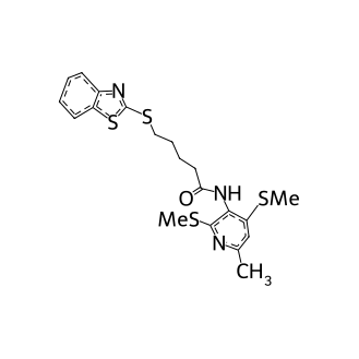 CSc1cc(C)nc(SC)c1NC(=O)CCCCSc1nc2ccccc2s1